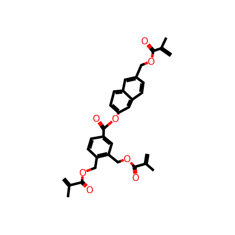 C=C(C)C(=O)OCc1ccc2cc(OC(=O)c3ccc(COC(=O)C(=C)C)c(COC(=O)C(=C)C)c3)ccc2c1